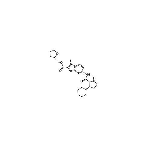 Cn1c(C(=O)OC[C@@H]2CCCO2)cc2cc(NC(=O)[C@H]3NCC[C@H]3C3CCCCC3)ccc21